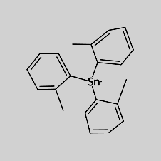 Cc1cccc[c]1[Sn]([c]1ccccc1C)[c]1ccccc1C